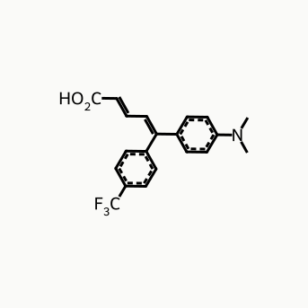 CN(C)c1ccc(C(=CC=CC(=O)O)c2ccc(C(F)(F)F)cc2)cc1